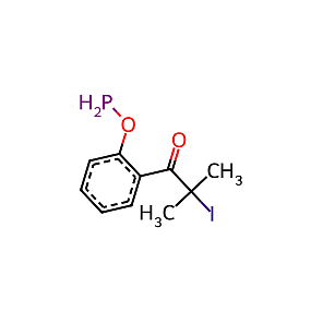 CC(C)(I)C(=O)c1ccccc1OP